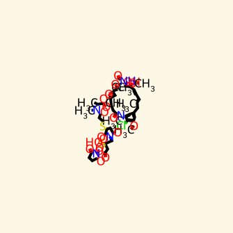 COc1cc2cc(c1Cl)N(C)C(=O)CC(OC(=O)C(C)N(C)C(=O)CCSC1CC(=O)N(CC(CC(=O)ON3C(=O)CCC3=O)S(=O)(=O)O)C1=O)C1(C)CC(C)(O1)C1CC(O)(NC(=O)O1)C(OC)/C=C/C=C(\C)C2